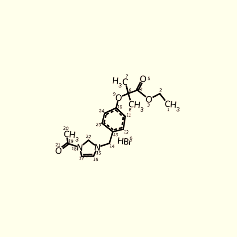 Br.CCOC(=O)C(C)(C)Oc1ccc(CN2C=CN(C(C)=O)C2)cc1